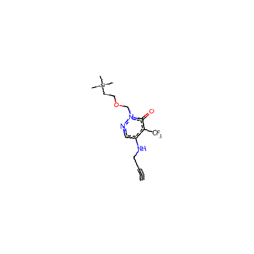 C#CCNc1cnn(COCC[Si](C)(C)C)c(=O)c1C(F)(F)F